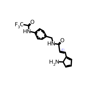 NC1C=CC=C1/C=C/C(=O)NCc1ccc(NC(=O)C(F)(F)F)cc1